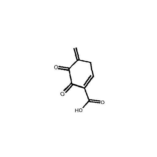 C=C1CC=C(C(=O)O)C(=O)C1=O